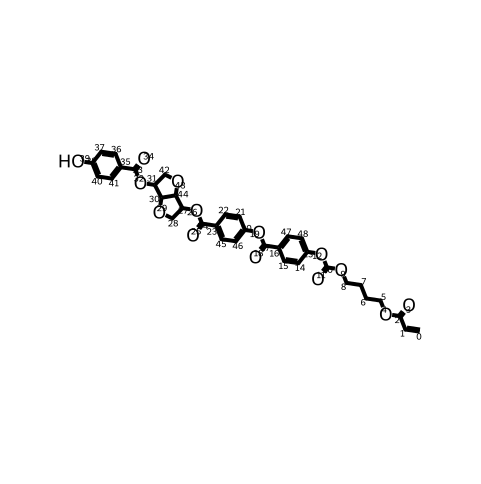 C=CC(=O)OCCCCOC(=O)Oc1ccc(C(=O)Oc2ccc(C(=O)OC3COC4C(OC(=O)c5ccc(O)cc5)COC34)cc2)cc1